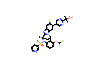 CC(C)(O)c1ncc(-c2cc3c(cc2F)nc2n3C3C[C@H]2N(S(=O)(=O)c2cccnc2)c2cccc(OC(F)F)c23)cn1